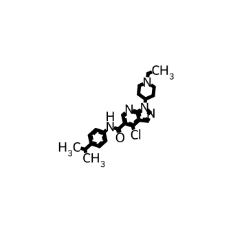 CCN1CCC(n2ncc3c(Cl)c(C(=O)Nc4ccc(C(C)C)cc4)cnc32)CC1